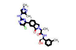 Cc1cccc([C@@H](CO)NC(=O)[C@@H](C)N2Cc3ccc(-c4nc(Nc5cn(C)nc5C)ncc4Cl)cc3C2=O)c1